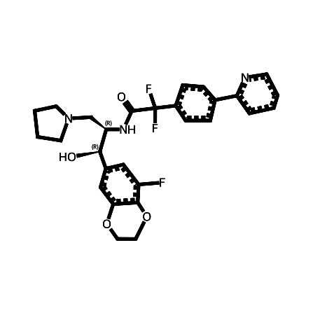 O=C(N[C@H](CN1CCCC1)[C@H](O)c1cc(F)c2c(c1)OCCO2)C(F)(F)c1ccc(-c2ccccn2)cc1